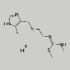 CNC(=NCCSCc1nc[nH]c1C)SC.I.I